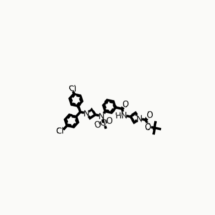 CC(C)(C)OC(=O)N1CC(NC(=O)c2cccc(N(C3CN(C(c4ccc(Cl)cc4)c4ccc(Cl)cc4)C3)S(C)(=O)=O)c2)C1